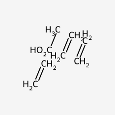 C=C.C=C.C=C.CC(=O)O